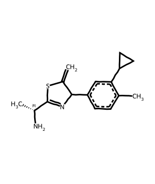 C=C1SC([C@@H](C)N)=NC1c1ccc(C)c(C2CC2)c1